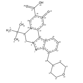 CC(C)(C)C1Cn2nc3c(CC4CCOCC4)cccc3c2-c2cc(=O)c(C(=O)O)cn21